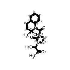 CC(=O)C(C)n1nnn(C(=O)N2c3ccccc3C=CC2(C)C)c1=O